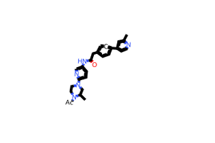 CC(=O)N1CCN(c2ccc(NC(=O)Cc3ccc(-c4ccnc(C)c4)cc3)cn2)CC1C